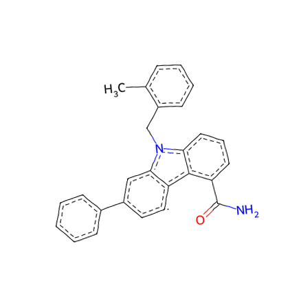 Cc1ccccc1Cn1c2cc(-c3ccccc3)c[c]c2c2c(C(N)=O)cccc21